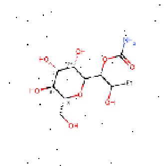 CCC(O)C(OC(N)=O)C1O[C@H](CO)[C@@H](O)[C@H](O)[C@@H]1O